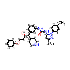 Cc1ccc(-n2nc(C(C)(C)C)cc2NC(=O)Nc2cccc(C(C(=O)CCOc3ccccc3)C3CCNCC3)c2)cc1